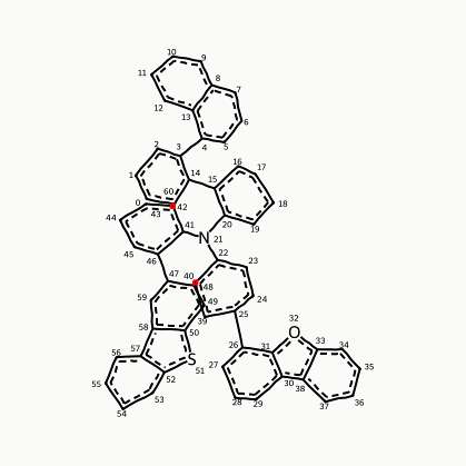 c1ccc(-c2cccc3ccccc23)c(-c2ccccc2N(c2ccc(-c3cccc4c3oc3ccccc34)cc2)c2ccccc2-c2ccc3sc4ccccc4c3c2)c1